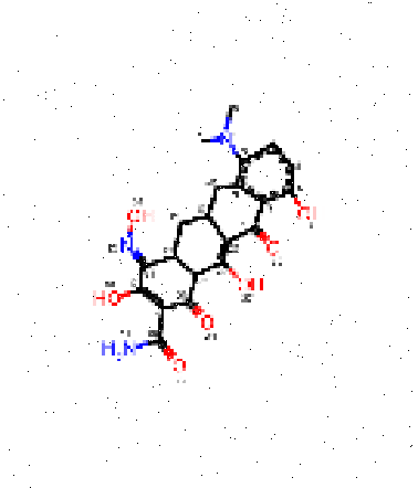 CN(C)c1ccc(O)c2c1CC1CC3/C(=N\O)C(O)=C(C(N)=O)C(=O)C3C(O)=C1C2=O